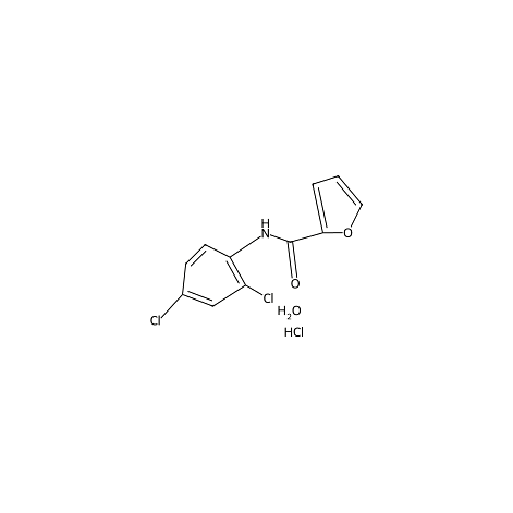 Cl.O.O=C(Nc1ccc(Cl)cc1Cl)c1ccco1